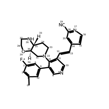 Cc1cc(F)cc(-c2cncc(/C=C/c3ccnc(C#N)c3)c2N2CC[C@H]3NCCO[C@@H]3C2)c1